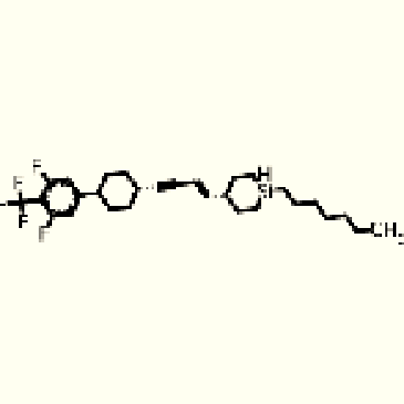 CCCCCCC[Si@H]1CC[C@H](/C=C/C#C[C@H]2CC[C@H](c3cc(F)c(C(F)(F)F)c(F)c3)CC2)CC1